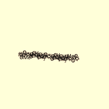 COc1ccccc1OC(=O)c1ccc(C(=O)Oc2ccc(C(C)(C)c3ccc(C(C)(C)OC(=O)c4ccc(C(=O)Oc5ccc(C(C)(C)c6ccc(C(C)(C)OC(=O)c7ccc(C(=O)Oc8ccccc8OC)cc7)cc6)cc5)cc4)cc3)cc2)cc1